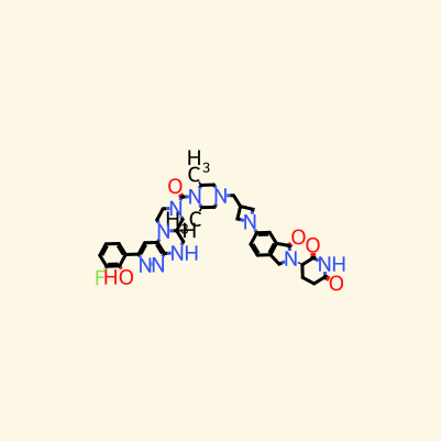 C[C@@H]1CN(CC2CN(c3ccc4c(c3)C(=O)N([C@H]3CCC(=O)NC3=O)C4)C2)C[C@H](C)N1C(=O)N1CCN2c3cc(-c4cccc(F)c4O)nnc3NC[C@H]2C1